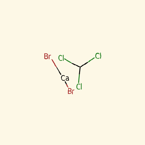 ClC(Cl)Cl.[Br][Ca][Br]